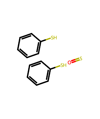 O=S.Sc1ccccc1.Sc1ccccc1